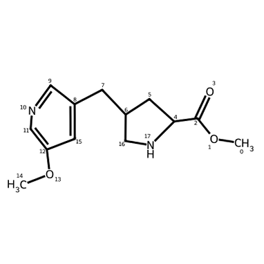 COC(=O)C1CC(Cc2cncc(OC)c2)CN1